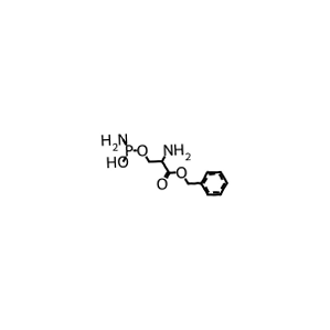 NC(COP(N)O)C(=O)OCc1ccccc1